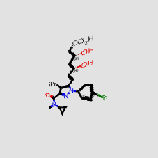 CC(C)c1c(C(=O)N(C)C2CC2)nn(-c2ccc(F)cc2)c1C=C[C@H](O)C[C@@H](O)CC(=O)O